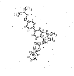 CC(C)COc1ccc(-c2ccc3c(c2)CC(C)(C)C3NC(=O)O[C@H]2CN3CCC2CC3)cc1